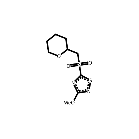 COc1nsc(S(=O)(=O)CC2CCCCO2)n1